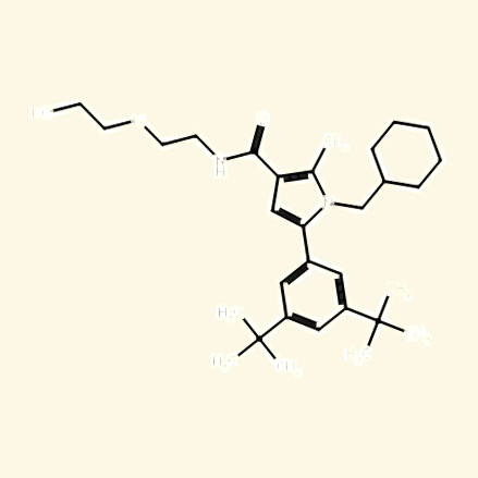 Cc1c(C(=O)NCCOCCO)cc(-c2cc(C(C)(C)C)cc(C(C)(C)C)c2)n1CC1CCCCC1